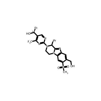 CC[C@H](O)c1cnc(N2CCn3c(nc4cc(CO)c(S(C)(=O)=O)cc43)C2C(C)C)nc1C(F)(F)F